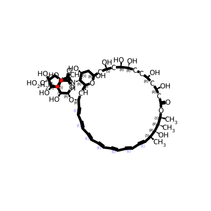 C[C@@H]1[C@H](O)[C@@H](C)/C=C/C=C/C=C/C=C/C=C/C=C/C=C/[C@H](O[C@@H]2O[C@H](C)[C@@H](O)[C@H](N)[C@@H]2O)C[C@@H]2O[C@](O)(C[C@@H](O)C[C@@H](O)[C@H](O)CC[C@@H](O)C[C@@H](O)CC(=O)O[C@H]1C)C[C@H](O)[C@H]2NC(=O)N1C[C@@H](O)[C@](O)(C(=O)O)C1